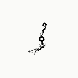 O=C(O)NCc1cnc(-c2ccc(OCCCN3CCC3)cc2)s1